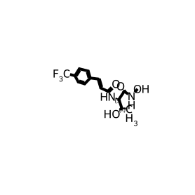 C[C@@H](O)[C@H](NC(=O)C=Cc1ccc(C(F)(F)F)cc1)C(=O)NO